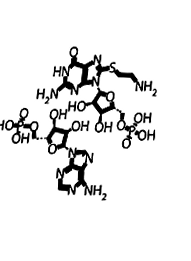 NCCSc1nc2c(=O)[nH]c(N)nc2n1[C@@H]1O[C@H](COP(=O)(O)O)[C@@H](O)[C@H]1O.Nc1ncnc2c1ncn2[C@@H]1O[C@H](COP(=O)(O)O)[C@@H](O)[C@H]1O